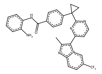 Cc1nc2ccc(C(F)(F)F)cn2c1-c1ccnc(C2(c3ccc(C(=O)Nc4ccccc4N)cc3)CC2)n1